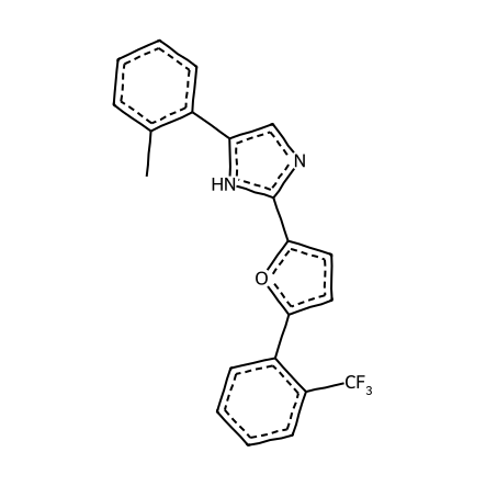 Cc1ccccc1-c1cnc(-c2ccc(-c3ccccc3C(F)(F)F)o2)[nH]1